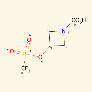 O=C(O)N1CC(OS(=O)(=O)C(F)(F)F)C1